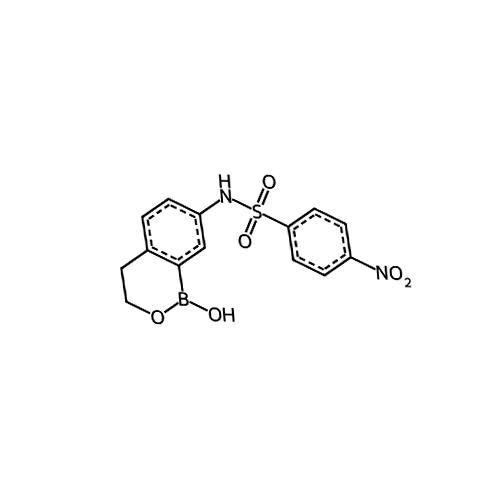 O=[N+]([O-])c1ccc(S(=O)(=O)Nc2ccc3c(c2)B(O)OCC3)cc1